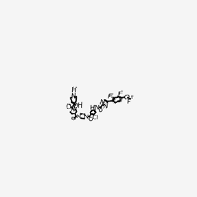 Cn1c(-c2ccc(OC(F)F)c(F)c2F)cnc1C(=O)Nc1ccc(C(=O)N2CCN(C(=O)C3CCN(C(=O)C4(O)CCNCC4)CC3)CC2)c(Cl)c1